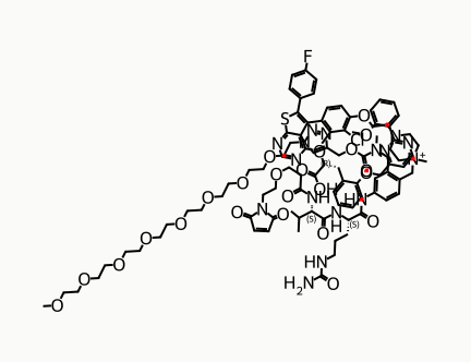 COCCOCCOCCOCCOCCOCCOCCOCCn1cc(COC(=O)N(C)Cc2cc(NC(=O)[C@H](CCCNC(N)=O)NC(=O)[C@@H](NC(=O)CCOCCN3C(=O)C=CC3=O)C(C)C)ccc2C[N+]2(C)CCN(CCOc3ccc(-c4c(-c5ccc(F)cc5)sc5ncnc(O[C@H](Cc6ccccc6OCc6ccnc(-c7ccccc7OC)n6)C(=O)O)c45)c(C)c3Cl)CC2)nn1